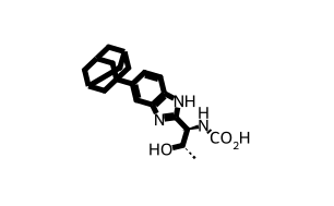 C[C@H](O)[C@H](NC(=O)O)c1nc2cc(C34CC5CC(CC(C5)C3)C4)ccc2[nH]1